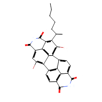 CCCCCC(C)c1c2c3c(cc(Br)c4c5ccc6c7c(ccc(c(c1Br)c34)c75)C(=O)NC6=O)C(=O)NC2=O